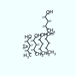 CCCCO.CCCCO.CCCCO.CCCCO.CCCCO.[Ta]